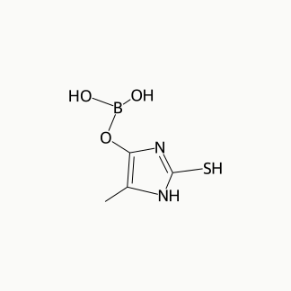 Cc1[nH]c(S)nc1OB(O)O